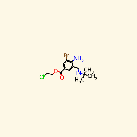 CC(C)(C)NCc1cc(C(=O)OCCCl)cc(Br)c1N